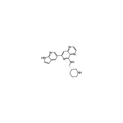 c1cnc2c(NC[C@H]3CCCNC3)nc(-c3cnc4[nH]ccc4c3)cc2n1